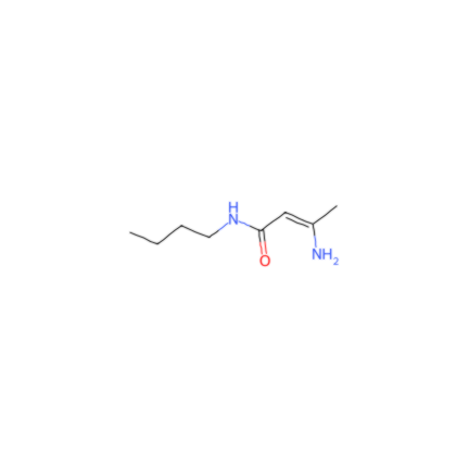 CCCCNC(=O)/C=C(/C)N